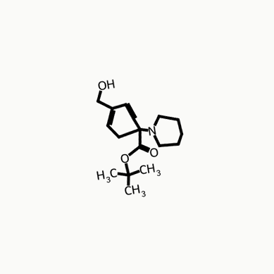 CC(C)(C)OC(=O)C1(N2CCCCC2)C=CC(CO)=CC1